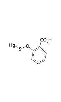 O=C(O)c1ccccc1O[S][Hg]